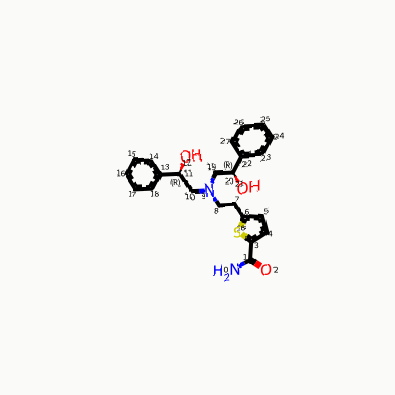 NC(=O)c1ccc(CCN(C[C@H](O)c2ccccc2)C[C@H](O)c2ccccc2)s1